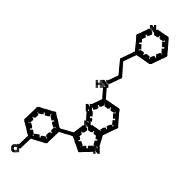 Clc1cccc(-c2cnc3ccc(NCCc4cccnc4)nn23)c1